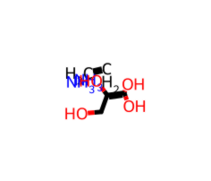 C=C.N.N.OCC(O)=C(O)O